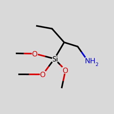 CCC(CN)[Si](OC)(OC)OC